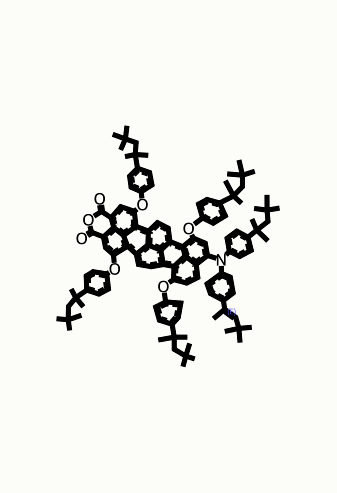 C/C(=C\C(C)(C)C)c1ccc(N(c2ccc(C(C)(C)CC(C)(C)C)cc2)c2cc(Oc3ccc(C(C)(C)CC(C)(C)C)cc3)c3c4ccc5c6c(Oc7ccc(C(C)(C)CC(C)(C)C)cc7)cc7c8c(cc(Oc9ccc(C(C)(C)CC(C)(C)C)cc9)c(c9ccc(c%10c(Oc%11ccc(C(C)(C)CC(C)(C)C)cc%11)ccc2c%103)c4c95)c86)C(=O)OC7=O)cc1